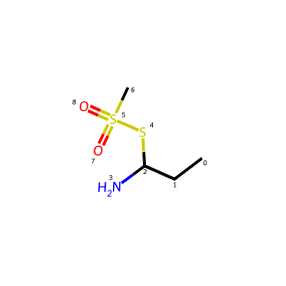 CCC(N)SS(C)(=O)=O